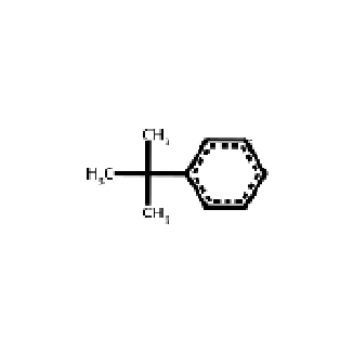 CC(C)(C)c1c[c]ccc1